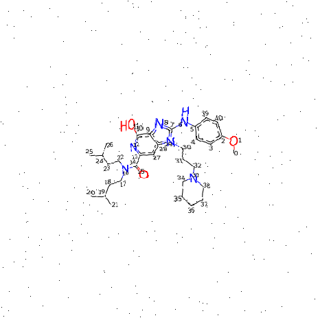 COc1ccc(Nc2nc3c(O)nc(C(=O)N(CCC(C)C)CCC(C)C)cc3n2CCCN2CCCCC2)cc1